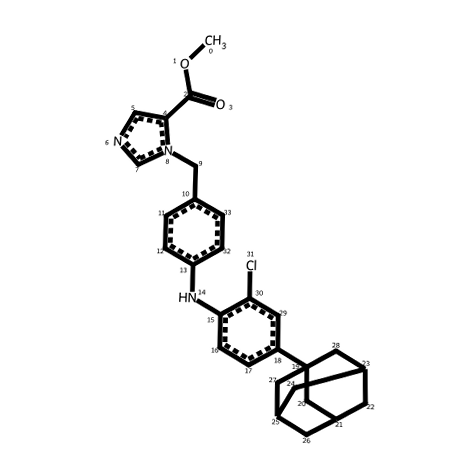 COC(=O)c1cncn1Cc1ccc(Nc2ccc(C34CC5CC(CC(C5)C3)C4)cc2Cl)cc1